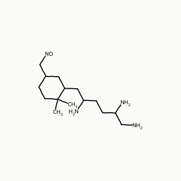 CC1(C)CCC(CN=O)CC1CC(N)CCC(N)CN